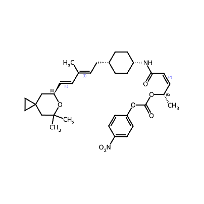 CC(/C=C/[C@@H]1CC2(CC2)CC(C)(C)O1)=C\C[C@H]1CC[C@@H](NC(=O)/C=C\[C@H](C)OC(=O)Oc2ccc([N+](=O)[O-])cc2)CC1